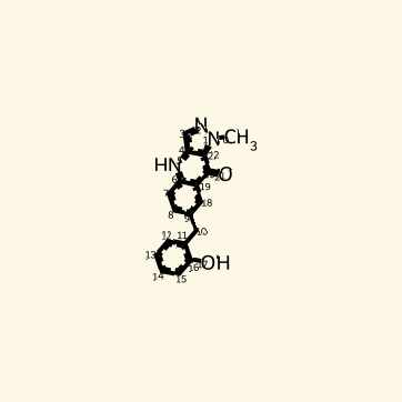 Cn1ncc2[nH]c3ccc(Cc4ccccc4O)cc3c(=O)c21